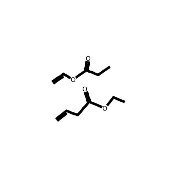 C=CCC(=O)OCC.C=COC(=O)CC